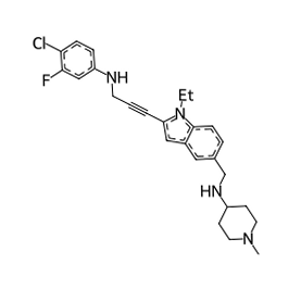 CCn1c(C#CCNc2ccc(Cl)c(F)c2)cc2cc(CNC3CCN(C)CC3)ccc21